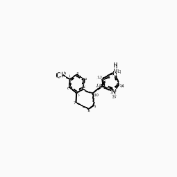 Clc1ccc2c(c1)CCCC2c1c[nH]cn1